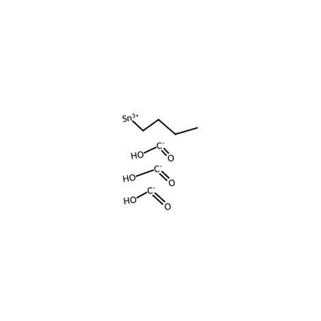 CCC[CH2][Sn+3].O=[C-]O.O=[C-]O.O=[C-]O